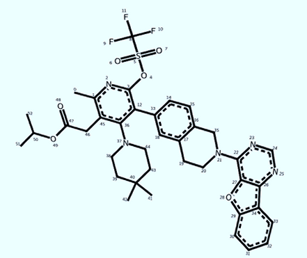 Cc1nc(OS(=O)(=O)C(F)(F)F)c(-c2ccc3c(c2)CCN(c2ncnc4c2oc2ccccc24)C3)c(N2CCC(C)(C)CC2)c1CC(=O)OC(C)C